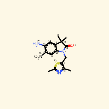 Cc1nc(C)c(CN2C(=O)C(C)(C)c3cc(N)c([N+](=O)[O-])cc32)s1